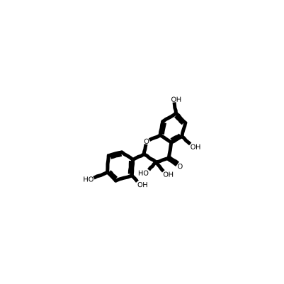 O=C1c2c(O)cc(O)cc2OC(c2ccc(O)cc2O)C1(O)O